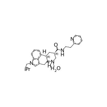 CC(C)Cn1cc2c3c(cccc31)[C@H]1C[C@@H](C(=O)NCCc3ccccn3)CN(C)[C@@H]1C2.O